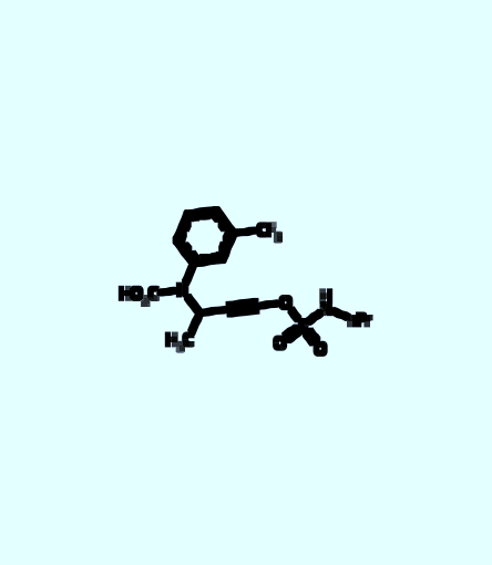 CCCNS(=O)(=O)OC#CC(C)N(C(=O)O)c1cccc(C(F)(F)F)c1